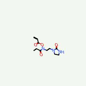 C=CC(=O)ON(CCN1CCNC1=O)C(=O)CC